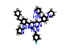 Fc1ccc(C2=NC3=NC(c4ccc(N5CCCCC5)cc4Nc4ccccn4)=CC4=CC(c5ccc(CC6CCCCC6)cc5Nc5ccccn5)=NC(=N2)N43)cc1